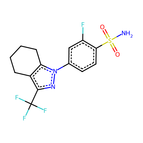 NS(=O)(=O)c1ccc(-n2nc(C(F)(F)F)c3c2CCCC3)cc1F